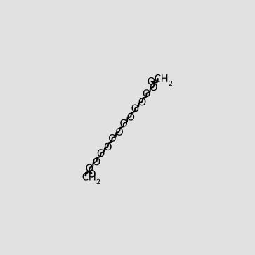 C=CC(=O)OCCOCCOCCOCCOCCOCCOCCOCCOCCOCCOCCOC(=O)C=C